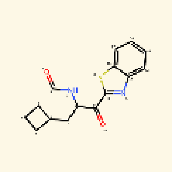 O=CNC(CC1CCC1)C(=O)c1nc2ccccc2s1